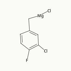 Fc1ccc([CH2][Mg][Cl])cc1Cl